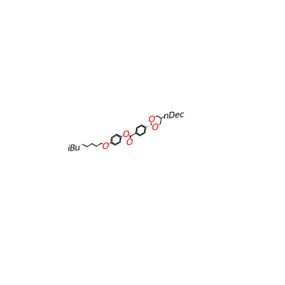 CCCCCCCCCC[C@H]1CO[C@H](c2ccc(C(=O)Oc3ccc(OCCCCC[C@@H](C)CC)cc3)cc2)OC1